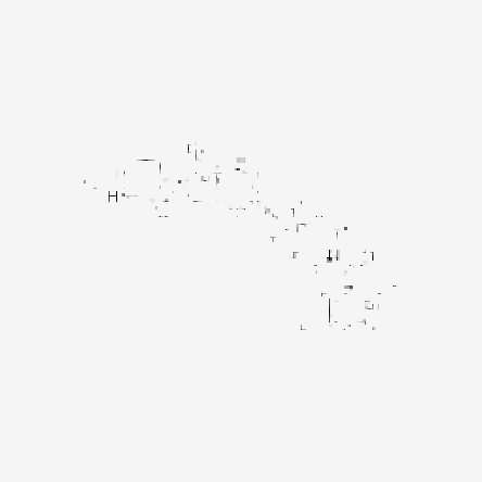 O=C1CCC(N2Cc3cc(N4CC5(CCN(C(=O)c6cc(F)ccc6F)CC5)C4)ccc3C2=O)C(=O)N1